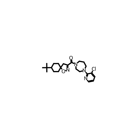 CC(C)(C)C1CCC2(CC1)CC(C(=O)N1CCCN(c3ncccc3Cl)CC1)=NO2